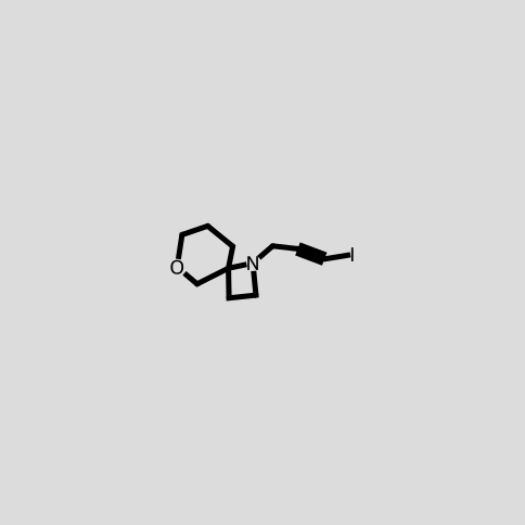 IC#CCN1CCC12CCCOC2